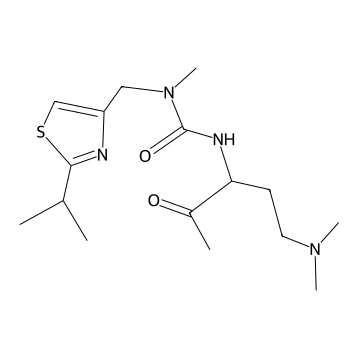 CC(=O)C(CCN(C)C)NC(=O)N(C)Cc1csc(C(C)C)n1